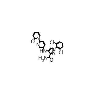 NC(=O)c1nn(-c2c(Cl)cccc2Cl)cc1Nc1ccc(-n2ccccc2=O)nc1